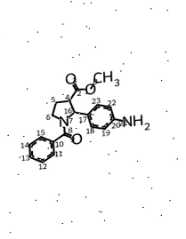 COC(=O)C1CCN(C(=O)c2ccccc2)C1c1ccc(N)cc1